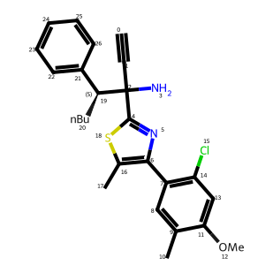 C#CC(N)(c1nc(-c2cc(C)c(OC)cc2Cl)c(C)s1)[C@@H](CCCC)c1ccccc1